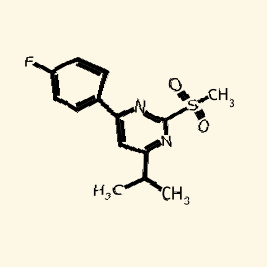 CC(C)c1cc(-c2ccc(F)cc2)nc(S(C)(=O)=O)n1